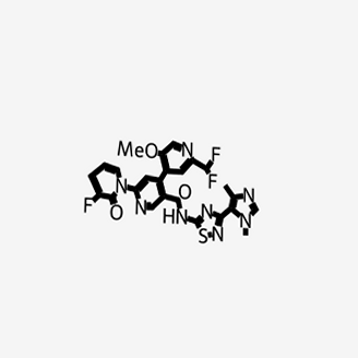 COc1cnc(C(F)F)cc1-c1cc(-n2cccc(F)c2=O)ncc1C(=O)Nc1nc(-c2c(C)ncn2C)ns1